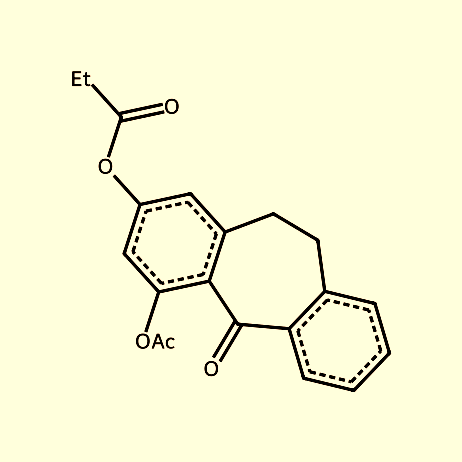 CCC(=O)Oc1cc2c(c(OC(C)=O)c1)C(=O)c1ccccc1CC2